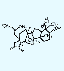 CC(=O)O[C@H]1CC[C@]2(C)[C@H]3CC[C@@H]4C5=C(C(C)C)C(=O)C[C@]5(CC(O)C=O)CC[C@@]4(C)[C@]3(C)CC[C@H]2C1(C)C